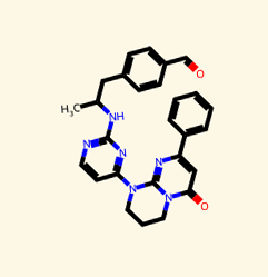 CC(Cc1ccc(C=O)cc1)Nc1nccc(N2CCCn3c2nc(-c2ccccc2)cc3=O)n1